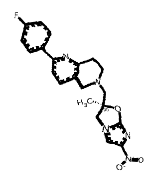 C[C@@]1(CN2CCc3nc(-c4ccc(F)cc4)ccc3C2)Cn2cc([N+](=O)[O-])nc2O1